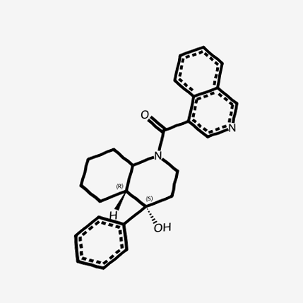 O=C(c1cncc2ccccc12)N1CC[C@@](O)(c2ccccc2)[C@@H]2CCCCC21